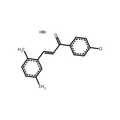 Br.Cc1ccc(C)c(/C=C/C(=O)c2ccc(Cl)cc2)c1